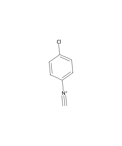 C#[N+]c1ccc(Cl)cc1